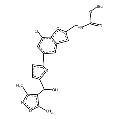 Cc1noc(C)c1C(O)c1ccc(-c2cc(Cl)c3oc(CNC(=O)OC(C)(C)C)cc3c2)s1